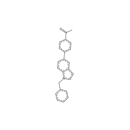 CC(=O)c1ccc(-c2ccc3c([c]cn3Cc3ccccc3)c2)cc1